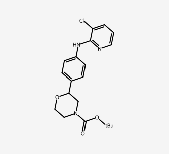 CC(C)(C)OC(=O)N1CCOC(c2ccc(Nc3ncccc3Cl)cc2)C1